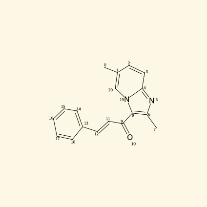 Cc1ccc2nc(C)c(C(=O)/C=C/c3ccccc3)n2c1